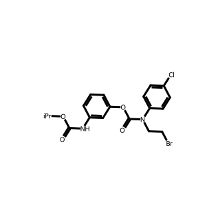 CC(C)OC(=O)Nc1cccc(OC(=O)N(CCBr)c2ccc(Cl)cc2)c1